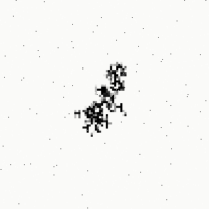 CNS(=O)(=O)c1cc(-c2sc(Nc3cccc(N4CCCOC4=O)n3)nc2C)cc2c1C(=O)NC2